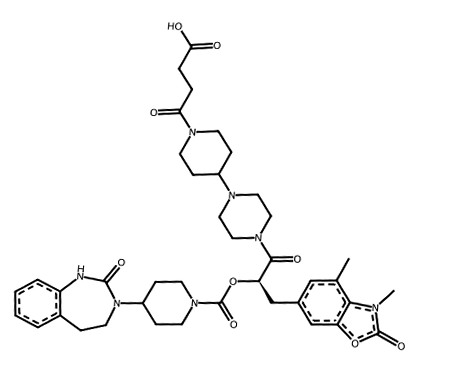 Cc1cc(C[C@@H](OC(=O)N2CCC(N3CCc4ccccc4NC3=O)CC2)C(=O)N2CCN(C3CCN(C(=O)CCC(=O)O)CC3)CC2)cc2oc(=O)n(C)c12